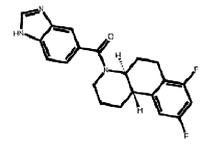 O=C(c1ccc2[nH]cnc2c1)N1CCC[C@H]2c3cc(F)cc(F)c3CC[C@@H]21